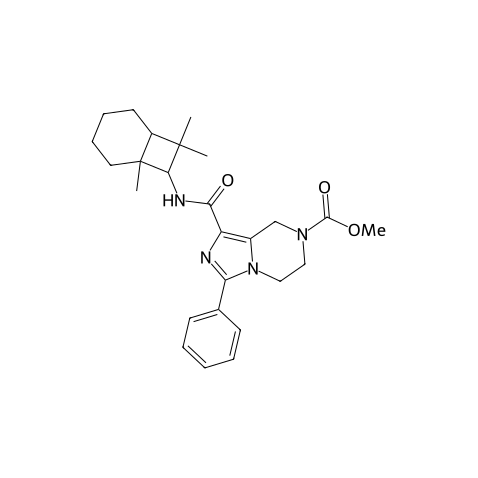 COC(=O)N1CCn2c(-c3ccccc3)nc(C(=O)NC3C(C)(C)C4CCCCC43C)c2C1